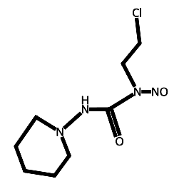 O=NN(CCCl)C(=O)NN1CCCCC1